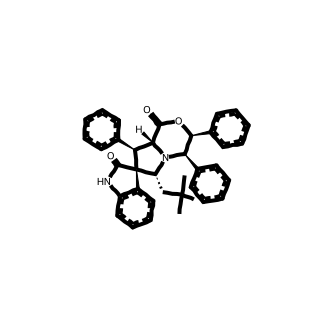 CC(C)(C)C[C@H]1N2[C@H](c3ccccc3)[C@H](c3ccccc3)OC(=O)[C@H]2[C@H](c2ccccc2)[C@@]12C(=O)Nc1ccccc12